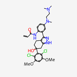 C=CC(=O)Nc1ccc(N(C)CCN(C)C)cc1-c1n[nH]c2c1CC[C@@](O)(c1c(Cl)c(OC)cc(OC)c1Cl)C2